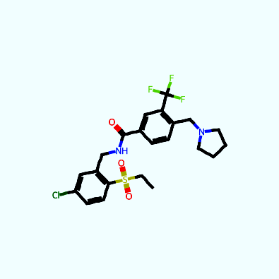 CCS(=O)(=O)c1ccc(Cl)cc1CNC(=O)c1ccc(CN2CCCC2)c(C(F)(F)F)c1